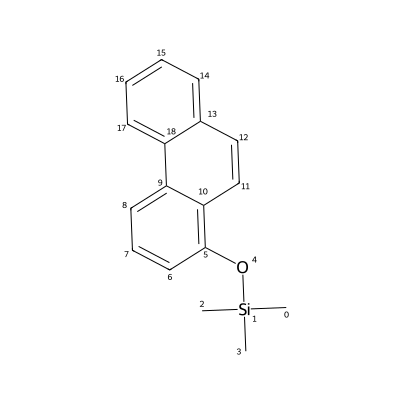 C[Si](C)(C)Oc1cccc2c1ccc1ccccc12